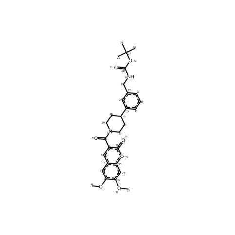 COc1cc2cc(C(=O)N3CCC(c4cccc(CNC(=O)OC(C)(C)C)c4)CC3)c(=O)oc2cc1OC